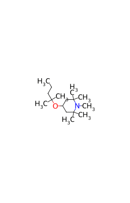 CCCC(C)(C)OC1CC(C)(C)N(C)C(C)(C)C1